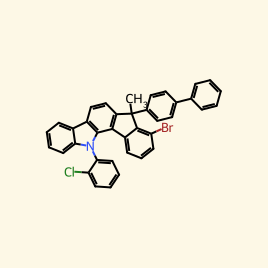 CC1(c2ccc(-c3ccccc3)cc2)c2ccc3c4ccccc4n(-c4ccccc4Cl)c3c2-c2cccc(Br)c21